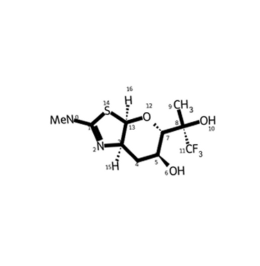 CNC1=N[C@@H]2C[C@H](O)[C@@H]([C@@](C)(O)C(F)(F)F)O[C@@H]2S1